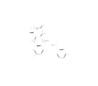 Cc1cc2nc3c(=O)[nH]c(=O)nc-3n(CCCc3ccc(C(C)(C)C)cc3)c2cc1C